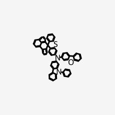 c1ccc(-n2c3ccccc3c3ccc(N(c4ccc5c(c4)Sc4ccccc4C54c5ccccc5-c5cccc6cccc4c56)c4ccc5c(c4)oc4ccccc45)cc32)cc1